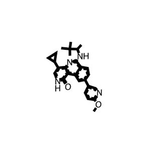 COc1ccc(-c2ccc3c(NC(C)C(C)(C)C)nc4c(C5CC5)c[nH]c(=O)c4c3c2)cn1